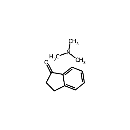 CN(C)C.O=C1CCc2ccccc21